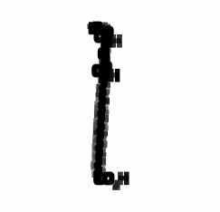 CC(C)(C)OC(=O)NCCOCCOC(=O)NCCCCCCCCCCCCCCCCCCCCCCCC(=O)O